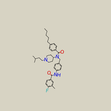 CCCCCc1ccc(C(=O)N(Cc2ccc(NC(=O)c3ccc(F)c(C)c3)cc2)C2CCN(CCC(C)C)CC2)cc1